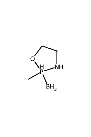 B[PH]1(C)NCCO1